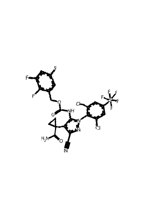 N#Cc1nn(-c2c(Cl)cc(S(F)(F)(F)(F)F)cc2Cl)c(NC(=O)OCc2cc(F)cc(F)c2F)c1C1(C(N)=O)CC1